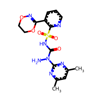 Cc1cc(C)nc(N(N)C(=O)NS(=O)(=O)c2ncccc2C2=NOCCO2)n1